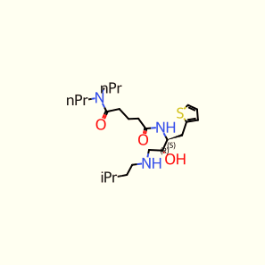 CCCN(CCC)C(=O)CCCC(=O)N[C@@H](Cc1cccs1)[C@H](O)CNCCC(C)C